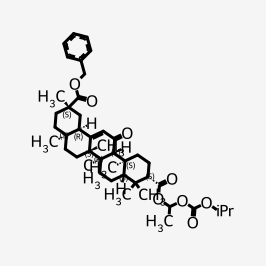 CC(C)OC(=O)OC(C)OC(=O)[C@H]1CC[C@]2(C)[C@H]3C(=O)C=C4[C@@H]5C[C@@](C)(C(=O)OCc6ccccc6)CC[C@]5(C)CC[C@@]4(C)[C@]3(C)CC[C@H]2C1(C)C